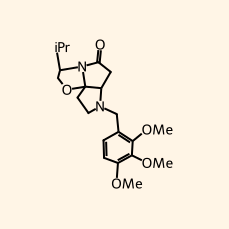 COc1ccc(CN2CCC34OCC(C(C)C)N3C(=O)CC24)c(OC)c1OC